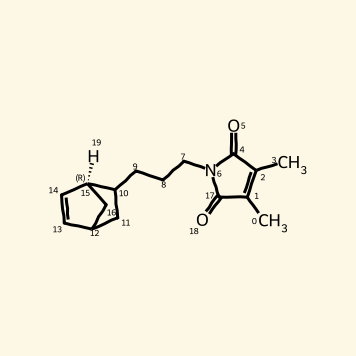 CC1=C(C)C(=O)N(CCCC2CC3C=C[C@@H]2C3)C1=O